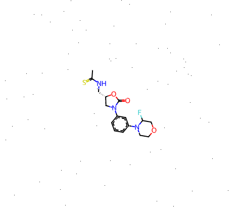 CC(=S)NC[C@H]1CN(c2cccc(N3CCOCC3F)c2)C(=O)O1